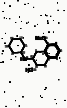 COc1cccc2c1CC(NC1CCCCC1)CC2.Cl